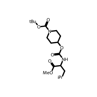 COC(=O)C(CC(C)C)NC(=O)OC1CCN(C(=O)OC(C)(C)C)CC1